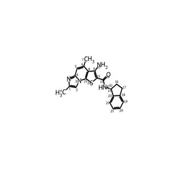 Cc1cn2c(cc(C)c3c(N)c(C(=O)N[C@H]4CCc5ccccc54)sc32)n1